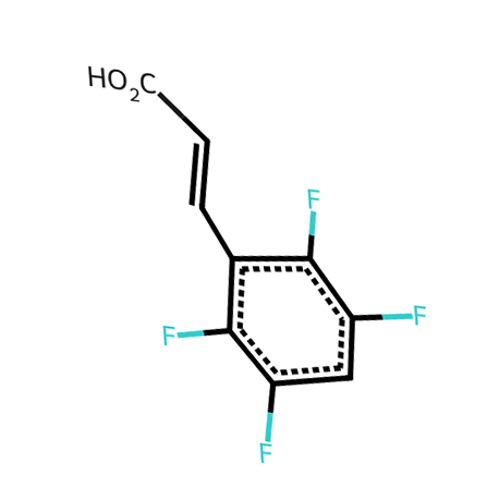 O=C(O)C=Cc1c(F)c(F)cc(F)c1F